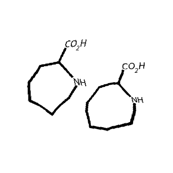 O=C(O)C1CCCCCN1.O=C(O)C1CCCCCN1